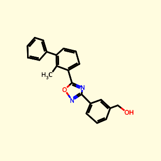 Cc1c(-c2ccccc2)cccc1-c1nc(-c2cccc(CO)c2)no1